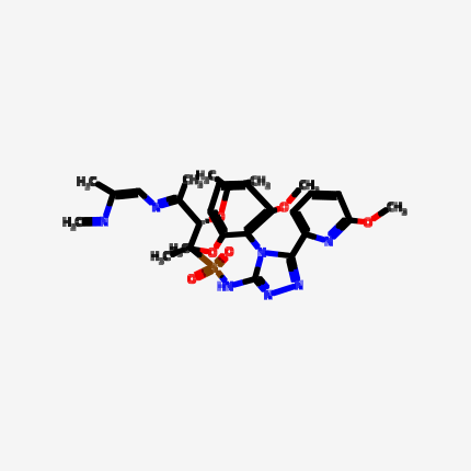 C=N/C(C)=C\N=C(/C)[C@H](OC(C)C)[C@H](C)S(=O)(=O)Nc1nnc(-c2cccc(OC)n2)n1-c1c(OC)cccc1OC